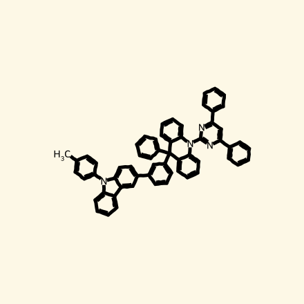 Cc1ccc(-n2c3ccccc3c3cc(-c4cccc(C5(c6ccccc6)c6ccccc6N(c6nc(-c7ccccc7)cc(-c7ccccc7)n6)c6ccccc65)c4)ccc32)cc1